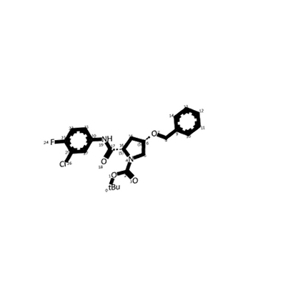 CC(C)(C)OC(=O)N1C[C@@H](OCc2ccccc2)C[C@H]1C(=O)Nc1ccc(F)c(Cl)c1